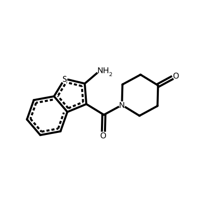 Nc1sc2ccccc2c1C(=O)N1CCC(=O)CC1